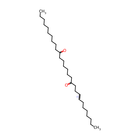 CCCCCCC/C=C/CCC(=O)CCCCCCC(=O)CCCCCCCCCC